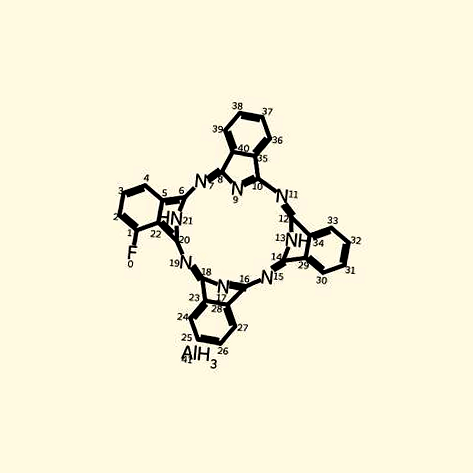 Fc1cccc2c3nc4nc(nc5[nH]c(nc6nc(nc([nH]3)c12)-c1ccccc1-6)c1ccccc51)-c1ccccc1-4.[AlH3]